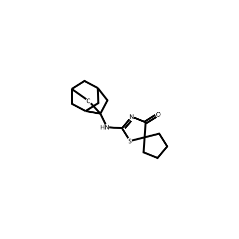 O=C1N=C(NC23CC4CC(CC2C4)C3)SC12CCCC2